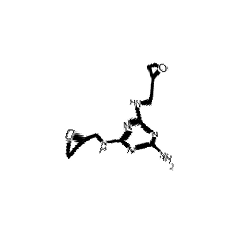 Nc1nc(NCC2CO2)nc(NCC2CO2)n1